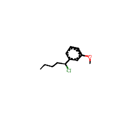 CCCCC(Cl)c1cccc(OC)c1